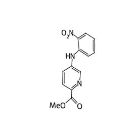 COC(=O)c1ccc(Nc2ccccc2[N+](=O)[O-])cn1